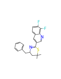 CC1(C)CC(Cc2ccccc2)N=C(c2cnc3c(F)c(F)ccc3c2)S1